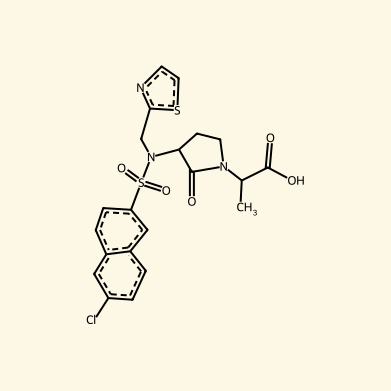 CC(C(=O)O)N1CCC(N(Cc2nccs2)S(=O)(=O)c2ccc3cc(Cl)ccc3c2)C1=O